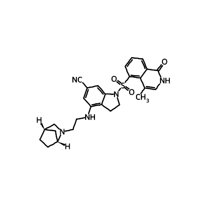 Cc1c[nH]c(=O)c2cccc(S(=O)(=O)N3CCc4c(NCCN5C[C@H]6CC[C@@H]5C6)cc(C#N)cc43)c12